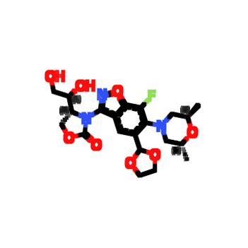 C[C@@H]1CN(c2c(C3OCCO3)cc3c(N4C(=O)OC[C@@H]4[C@H](O)CO)noc3c2F)C[C@@H](C)O1